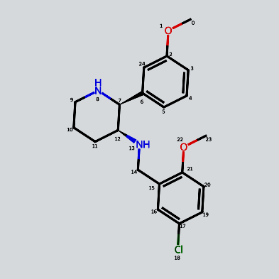 COc1cccc([C@@H]2NCCC[C@@H]2NCc2cc(Cl)ccc2OC)c1